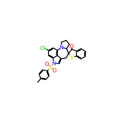 Cc1ccc(S(=O)(=O)n2cc3c4c(cc(Cl)cc42)N2CCCC2C2(C3)Sc3ccccc3C2=O)cc1